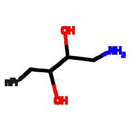 CCCCC(O)C(O)CN